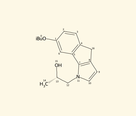 CC(C)COc1ccc2c(c1)-c1c(ccn1C[C@H](C)O)C2